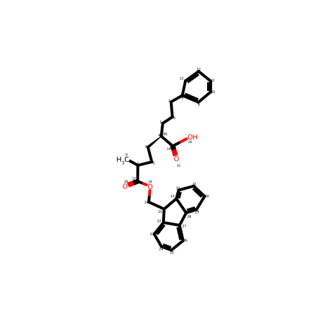 CC(CC[C@@H](CCCc1ccccc1)C(=O)O)C(=O)OCC1c2ccccc2-c2ccccc21